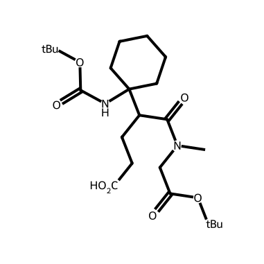 CN(CC(=O)OC(C)(C)C)C(=O)C(CCC(=O)O)C1(NC(=O)OC(C)(C)C)CCCCC1